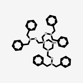 c1ccc(CN(Cc2ccccc2)OCN2CNC[N+](CON(Cc3ccccc3)Cc3ccccc3)(CON(Cc3ccccc3)Cc3ccccc3)C2)cc1